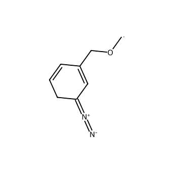 [CH2]OCC1=CC(=[N+]=[N-])CC=C1